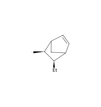 [CH2][C@H]1C2C=CC(C2)[C@H]1CC